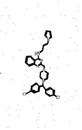 Clc1ccc(C(c2ccc(Cl)cc2)N2CCN(Cc3nc(NCCCn4cccc4)c4ccccc4n3)CC2)cc1